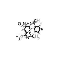 Cc1nn(C)c2cc(N[C@@H](C)c3ccccc3)c([N+](=O)[O-])cc12